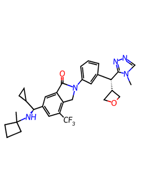 Cn1cnnc1[C@@H](c1cccc(N2Cc3c(cc([C@@H](NC4(C)CCC4)C4CC4)cc3C(F)(F)F)C2=O)c1)C1COC1